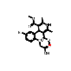 COC(=O)C1=C(C)NC(C)=C(C(=O)OC)C1c1cc(Br)ccc1OCC(=O)O